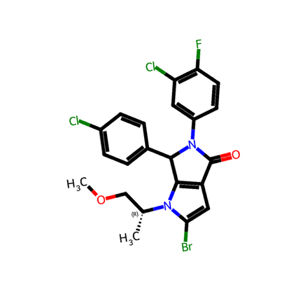 COC[C@@H](C)n1c(Br)cc2c1C(c1ccc(Cl)cc1)N(c1ccc(F)c(Cl)c1)C2=O